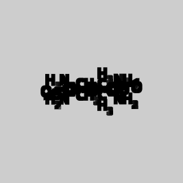 CC(C)(c1ccc(C(C)(C)c2cc(N)c(OCC3CO3)c(N)c2)cc1)c1cc(N)c(COC2CO2)c(N)c1